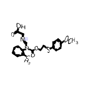 COc1ccc(SCCOC(=O)N(/C=N/CC(=O)O)c2ccccc2C)cc1